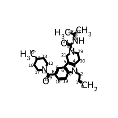 C=CCn1c2c(c3cc(C(=O)N4CCC(C)CC4)ccc31)CN(C(=O)NC(C)C)CC2